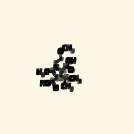 COCCn1c(C)c(C(=O)O)c(C(C)C)c1C(=O)O